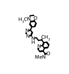 CNC(=O)c1ccnc2c(C(C)CCNc3cc(-c4ccc5c(c4)N(C)CCO5)ncn3)cccc12